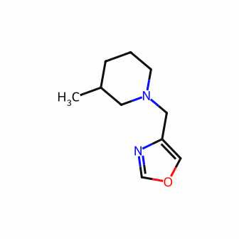 CC1CCCN(Cc2cocn2)C1